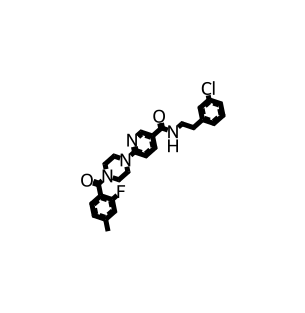 Cc1ccc(C(=O)N2CCN(c3ccc(C(=O)NCCc4cccc(Cl)c4)cn3)CC2)c(F)c1